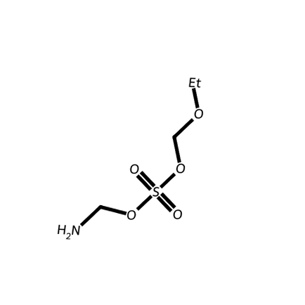 CCOCOS(=O)(=O)OCN